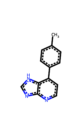 Cc1ccc(-c2ccnc3nc[nH]c23)cc1